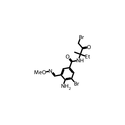 CCC(C)(NC(=O)c1cc(Br)c(N)c(C=NOC)c1)C(=O)CBr